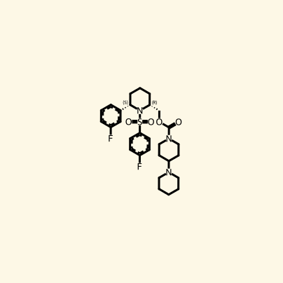 O=C(OC[C@H]1CCC[C@@H](c2cccc(F)c2)N1S(=O)(=O)c1ccc(F)cc1)N1CCC(N2CCCCC2)CC1